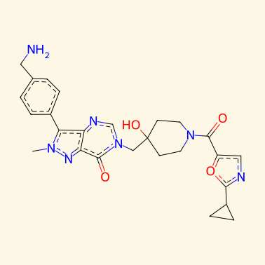 Cn1nc2c(=O)n(CC3(O)CCN(C(=O)c4cnc(C5CC5)o4)CC3)cnc2c1-c1ccc(CN)cc1